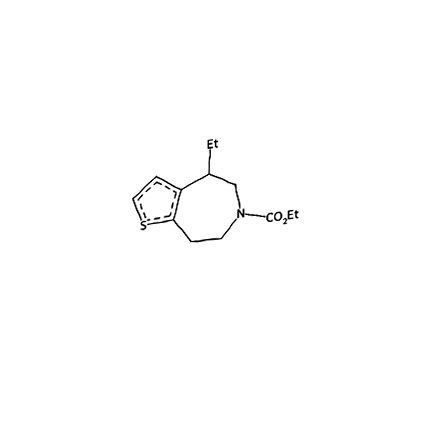 CCOC(=O)N1CCc2sccc2C(CC)C1